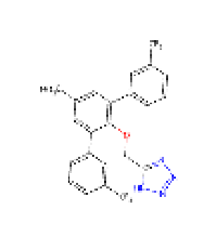 O=C(O)c1cc(-c2cccc(C(F)(F)F)c2)c(OCc2nnn[nH]2)c(-c2cccc(C(F)(F)F)c2)c1